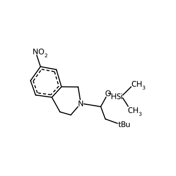 C[SiH](C)OC(CC(C)(C)C)N1CCc2ccc([N+](=O)[O-])cc2C1